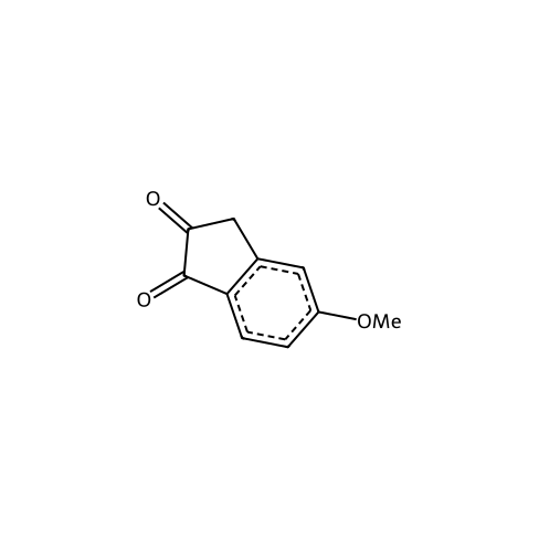 COc1ccc2c(c1)CC(=O)C2=O